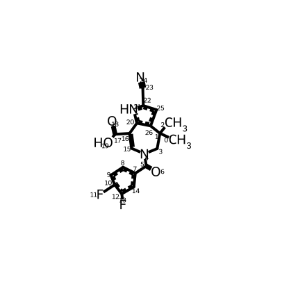 CC1(C)CN(C(=O)c2ccc(F)c(F)c2)C=C(C(=O)O)c2[nH]c(C#N)cc21